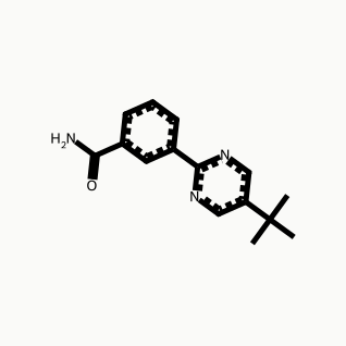 CC(C)(C)c1cnc(-c2cccc(C(N)=O)c2)nc1